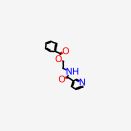 O=C(NCCOC(=O)c1ccccc1)c1cccnc1